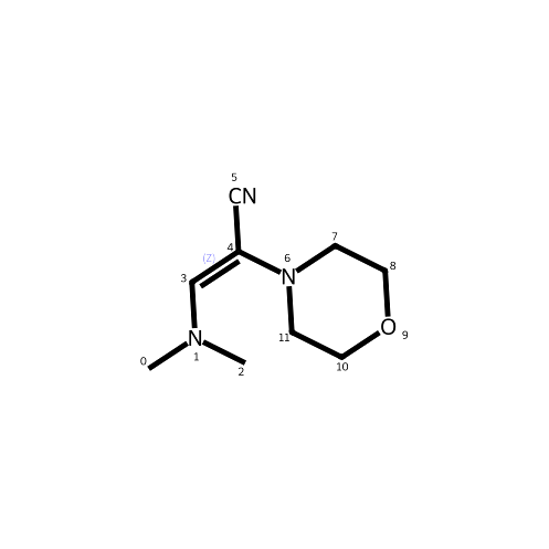 CN(C)/C=C(/C#N)N1CCOCC1